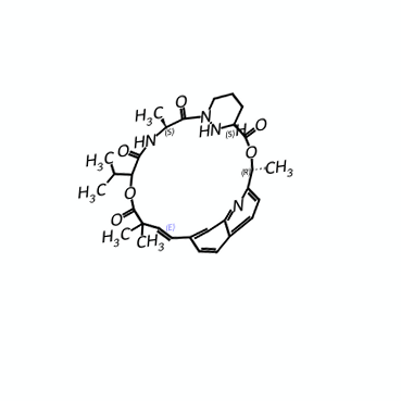 CC(C)C1OC(=O)C(C)(C)/C=C/c2ccc3ccc(nc3c2)[C@@H](C)OC(=O)[C@@H]2CCCN(N2)C(=O)[C@H](C)NC1=O